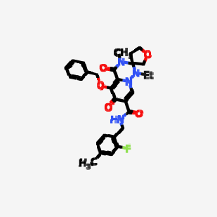 CCN1n2cc(C(=O)NCc3ccc(C)cc3F)c(=O)c(OCc3ccccc3)c2C(=O)N(C)C12CCOC2